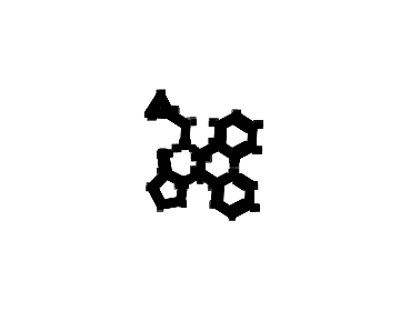 O=C1CCCN1[C@H](c1ccccn1)[C@H](OCC1CC1)c1ccccc1